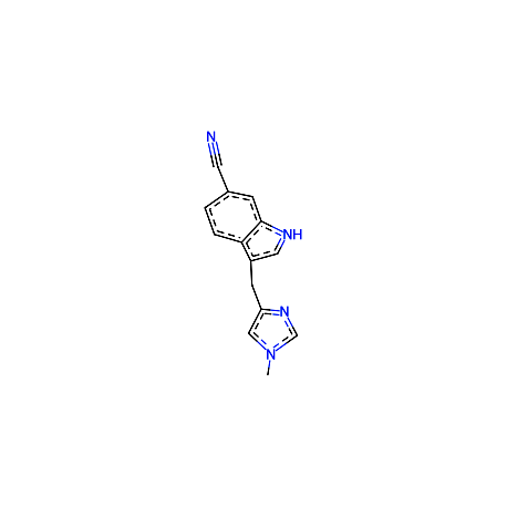 Cn1cnc(Cc2c[nH]c3cc(C#N)ccc23)c1